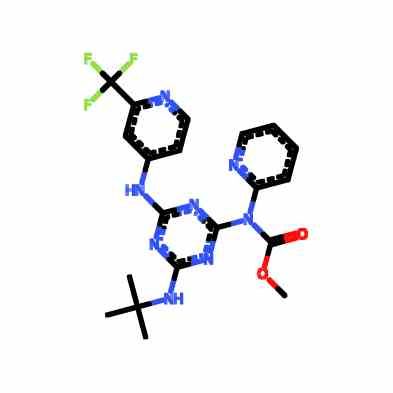 COC(=O)N(c1ccccn1)c1nc(Nc2ccnc(C(F)(F)F)c2)nc(NC(C)(C)C)n1